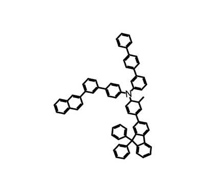 CC1C=C(c2ccc3c(c2)C(c2ccccc2)(c2ccccc2)c2ccccc2-3)C=CC1N(c1ccc(-c2cccc(-c3ccc4ccccc4c3)c2)cc1)c1cccc(-c2ccc(-c3ccccc3)cc2)c1